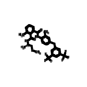 CSC[C@H](C)NC(=O)c1c(C)cccc1C(=O)Nc1ccc(Cc2cc(C(F)(F)F)cc(C(F)(F)F)c2)cc1C